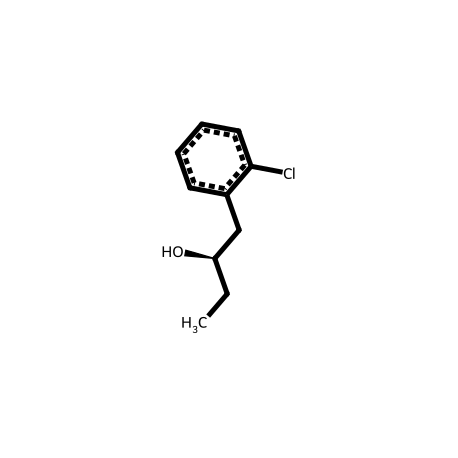 CC[C@@H](O)Cc1ccccc1Cl